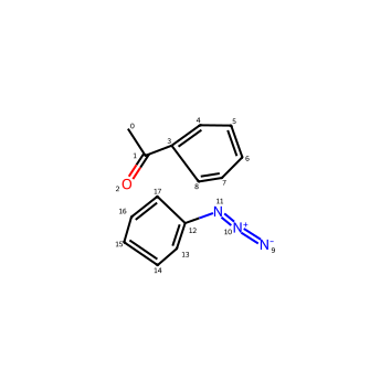 CC(=O)c1ccccc1.[N-]=[N+]=Nc1ccccc1